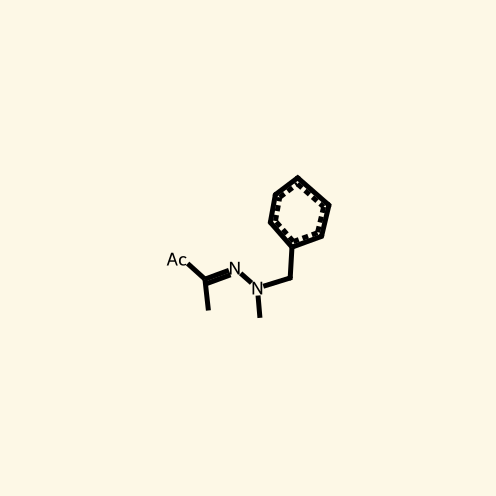 CC(=O)C(C)=NN(C)Cc1ccccc1